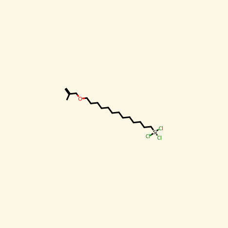 C=C(C)COCCCCCCCCCCCCC[Si](Cl)(Cl)Cl